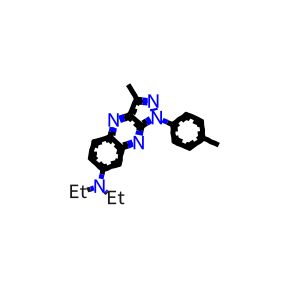 CCN(CC)c1ccc2nc3c(C)nn(-c4ccc(C)cc4)c3nc2c1